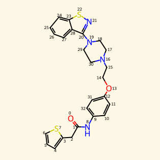 O=C(Cc1cccs1)Nc1ccc(OCCN2CCN(c3nsc4ccccc34)CC2)cc1